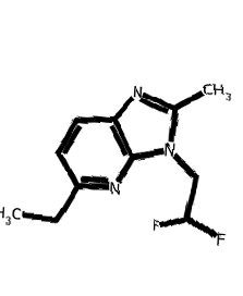 CCc1ccc2nc(C)n(CC(F)F)c2n1